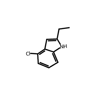 CCc1cc2c(Cl)cccc2[nH]1